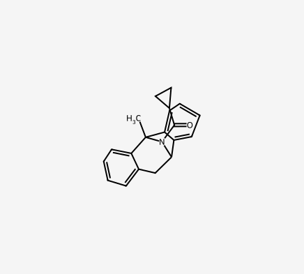 CC12c3ccccc3CC(c3ccccc31)N2C(=O)C1CC1